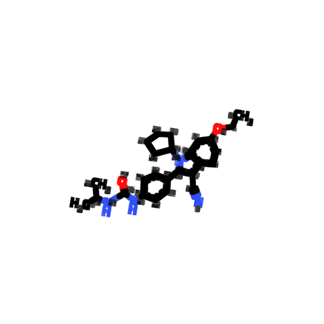 CCOc1ccc2c(C#N)c(-c3ccc(NC(=O)NC(C)C)cc3)n(C3CCCC3)c2c1